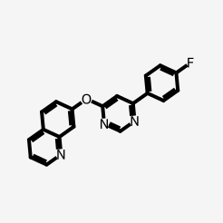 Fc1ccc(-c2cc(Oc3ccc4cccnc4c3)ncn2)cc1